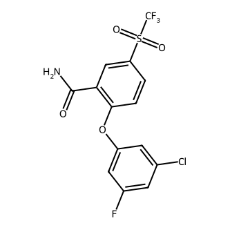 NC(=O)c1cc(S(=O)(=O)C(F)(F)F)ccc1Oc1cc(F)cc(Cl)c1